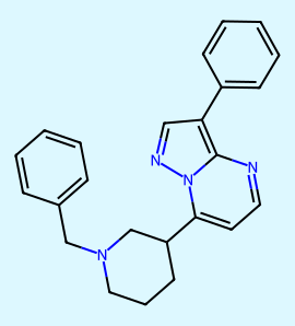 c1ccc(CN2CCCC(c3ccnc4c(-c5ccccc5)cnn34)C2)cc1